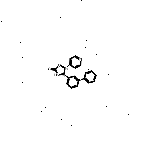 O=C1N[C@H](c2cccc(-c3ccccc3)c2)[C@@H](c2ccncc2)O1